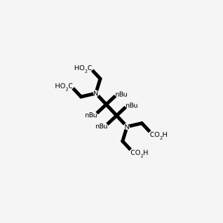 CCCCC(CCCC)(N(CC(=O)O)CC(=O)O)C(CCCC)(CCCC)N(CC(=O)O)CC(=O)O